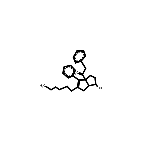 C=C(Cc1ccccc1)C12CCC(O)C1CC(CCCCCC)=C2c1ccccc1